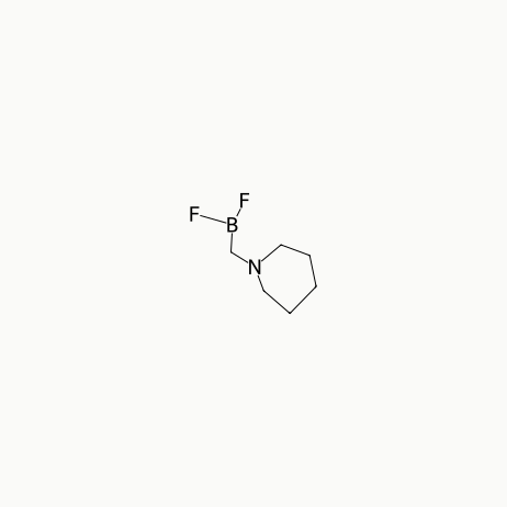 FB(F)CN1CCCCC1